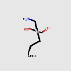 CCCCCC[Si](O)(O)CN